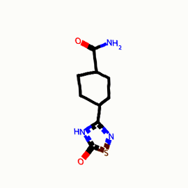 NC(=O)C1CCC(c2nsc(=O)[nH]2)CC1